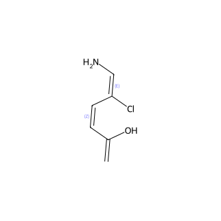 C=C(O)/C=C\C(Cl)=C/N